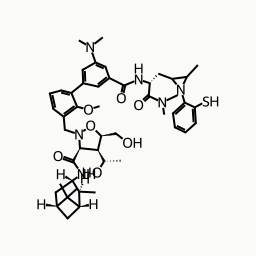 COc1c(CN2O[C@@H](CO)[C@@H]([C@H](C)O)[C@H]2C(=O)N[C@H]2C[C@H]3C[C@@H]([C@@H]2C)C3(C)C)cccc1-c1cc(C(=O)N[C@H](CC2C(C)N2c2ccccc2S)C(=O)N(C)C)cc(N(C)C)c1